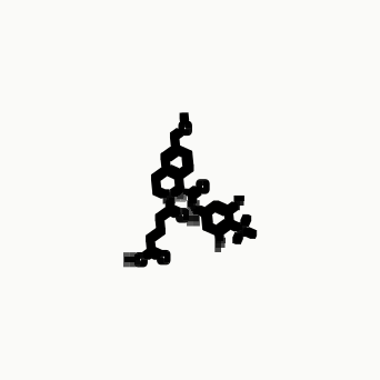 COCc1ccc2c(c1)CCN(C(=O)CCCC(=O)O)[C@H]2C(=O)Nc1cc(F)c(S(C)(C)C)c(F)c1